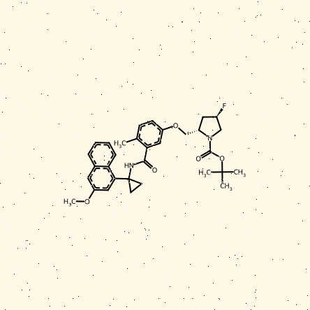 COc1cc(C2(NC(=O)c3cc(OC[C@@H]4C[C@@H](F)CN4C(=O)OC(C)(C)C)ccc3C)CC2)c2ccccc2c1